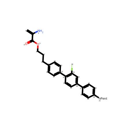 C=C(N)C(=O)OCCCc1ccc(-c2ccc(-c3ccc(CCCCC)cc3)cc2F)cc1